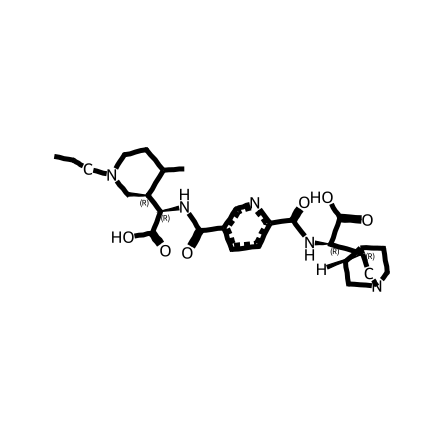 CCCN1CCC(C)[C@@H]([C@@H](NC(=O)c2ccc(C(=O)N[C@@H](C(=O)O)[C@H]3CN4CCC3CC4)nc2)C(=O)O)C1